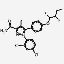 Cc1c(C(N)=O)nn(-c2ccc(Cl)cc2Cl)c1-c1ccc(OC(F)C(F)CF)cc1